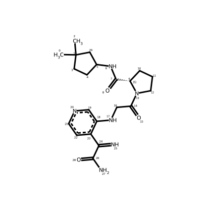 CC1(C)CCC(NC(=O)[C@@H]2CCCN2C(=O)CNc2cnccc2C(=N)C(N)=O)C1